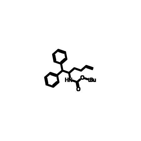 C=CCCC(NC(=O)OC(C)(C)C)C(c1ccccc1)c1ccccc1